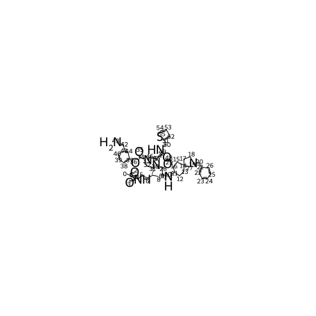 CS(=O)(=O)NCCCC[C@@H](NC1CCC2(CC1)CCN(Cc1ccccc1)C2)C(=O)N1CCN(C(=O)Oc2cccc(CN)c2)C[C@H]1C(=O)NCc1cccs1